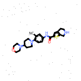 N#Cc1cc(NC(=O)c2cc3c(s2)CNCC3)ccc1N1CCC(N2CCOCC2)CC1